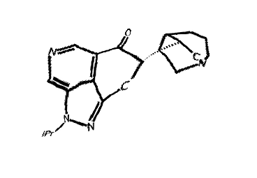 CC(C)n1nc2c3c(cncc31)C(=O)[C@H](C1CN3CCC1CC3)C2